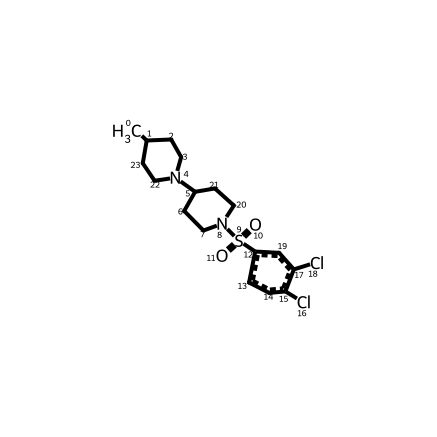 CC1CCN(C2CCN(S(=O)(=O)c3ccc(Cl)c(Cl)c3)CC2)CC1